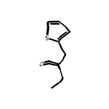 CCC(=O)Cc1cccs1